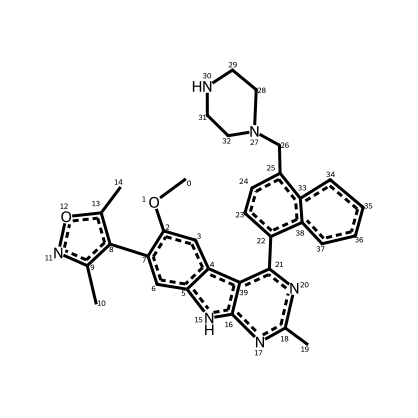 COc1cc2c(cc1-c1c(C)noc1C)[nH]c1nc(C)nc(-c3ccc(CN4CCNCC4)c4ccccc34)c12